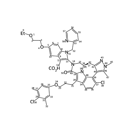 CCOCCOc1ccc2c(c1)c(C(=O)O)c(N1C[C@@H](C)n3c(c(CCCOc4cc(C)c(Cl)c(C)c4)c4ccc(Cl)c(-c5c(C)nn(C)c5C)c43)C1=O)n2Cc1ccccn1